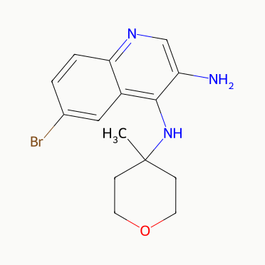 CC1(Nc2c(N)cnc3ccc(Br)cc23)CCOCC1